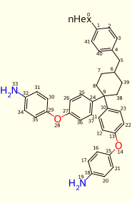 CCCCCCc1ccc(CC2CCC(c3ccc(Oc4ccc(N)cc4)cc3)(c3ccc(Oc4ccc(N)cc4)cc3)CC2)cc1